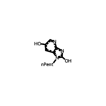 CCCCCn1c(O)nc2ncc(O)cc21